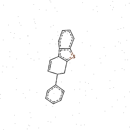 C1=CC(c2ccccc2)Cc2sc3ccccc3c21